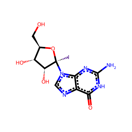 Nc1nc2c(ncn2[C@]2(I)O[C@H](CO)[C@@H](O)[C@H]2O)c(=O)[nH]1